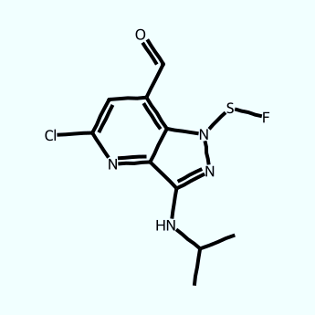 CC(C)Nc1nn(SF)c2c(C=O)cc(Cl)nc12